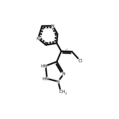 CN1N=C(/C(=C\Cl)c2cncnc2)NN1